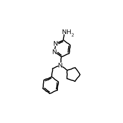 Nc1ccc(N(Cc2ccccc2)C2CCCC2)nn1